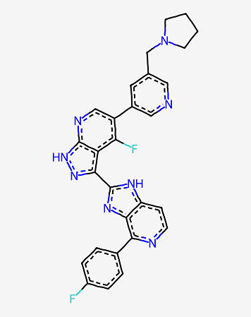 Fc1ccc(-c2nccc3[nH]c(-c4n[nH]c5ncc(-c6cncc(CN7CCCC7)c6)c(F)c45)nc23)cc1